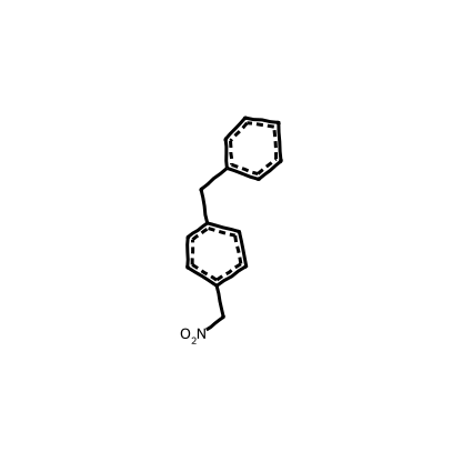 O=[N+]([O-])Cc1ccc(Cc2ccccc2)cc1